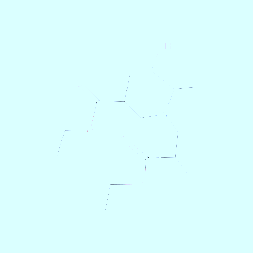 CCOC(=O)C(C)CN(CC(C)C(=O)OCC)C(C)CO